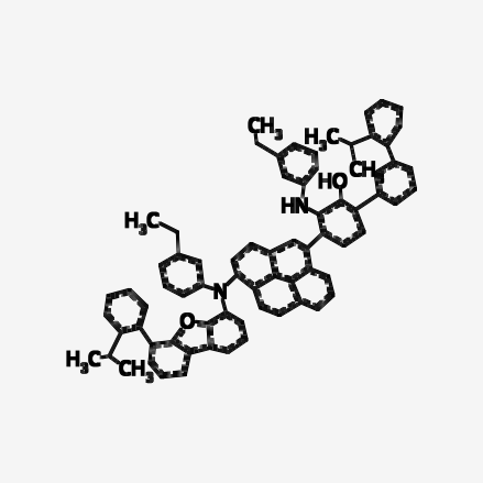 CCc1cccc(Nc2c(-c3cc4ccc(N(c5cccc(CC)c5)c5cccc6c5oc5c(-c7ccccc7C(C)C)cccc56)c5ccc6cccc3c6c45)ccc(-c3cccc(-c4ccccc4C(C)C)c3)c2O)c1